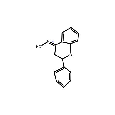 O/N=C1\CC(c2ccccc2)Oc2ccccc21